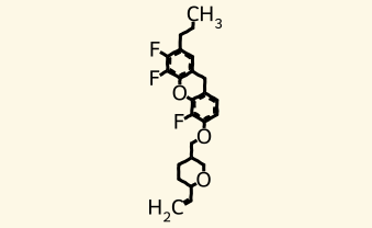 C=CC1CCC(COc2ccc3c(c2F)Oc2c(cc(CCC)c(F)c2F)C3)CO1